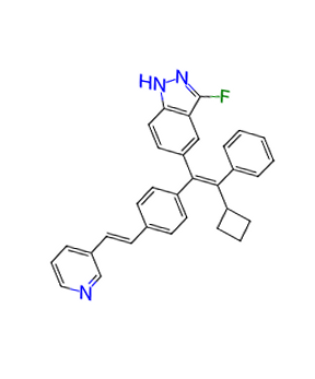 Fc1n[nH]c2ccc(C(=C(c3ccccc3)C3CCC3)c3ccc(C=Cc4cccnc4)cc3)cc12